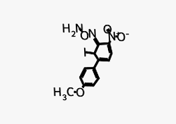 COc1ccc(C2=CC=C([N+](=O)[O-])/C(=N/ON)C2I)cc1